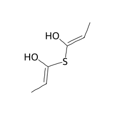 C/C=C(\O)S/C(O)=C/C